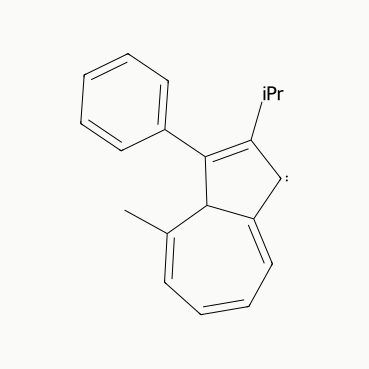 CC1=CC=CC=C2[C]C(C(C)C)=C(c3ccccc3)C12